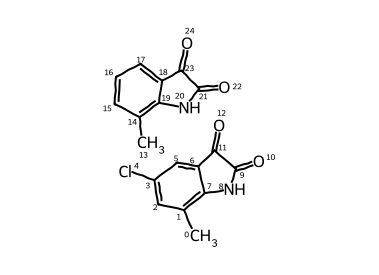 Cc1cc(Cl)cc2c1NC(=O)C2=O.Cc1cccc2c1NC(=O)C2=O